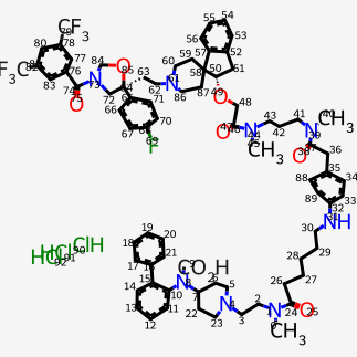 CN(CCN1CCC(N(C(=O)O)c2ccccc2-c2ccccc2)CC1)C(=O)CCCCCNc1ccc(CC(=O)N(C)CCCN(C)C(=O)CO[C@H]2Cc3ccccc3C23CCN(CC[C@]2(c4ccc(F)cc4)CN(C(=O)c4cc(C(F)(F)F)cc(C(F)(F)F)c4)CO2)CC3)cc1.Cl.Cl.Cl